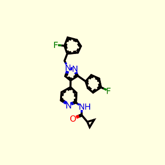 O=C(Nc1cc(-c2cn(Cc3ccccc3F)nc2-c2ccc(F)cc2)ccn1)C1CC1